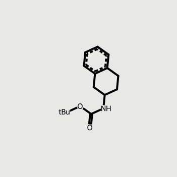 CC(C)(C)OC(=O)NC1CCc2ccccc2C1